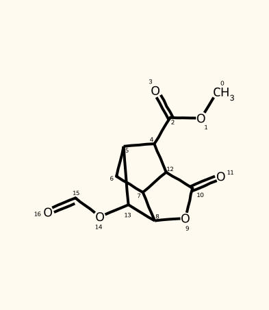 COC(=O)C1C2CC3C(OC(=O)C31)C2OC=O